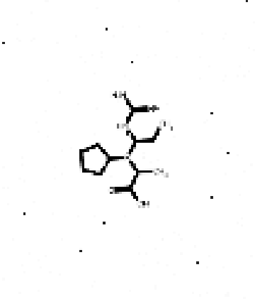 CCC(NC(=N)N)N(C1CCCC1)C(C)C(=O)O